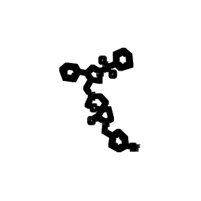 O=C1N(Cc2ccc(Br)cc2)CCC12CCN(CC1CN(S(=O)(=O)c3ccccc3)CC1c1ccccc1)CC2